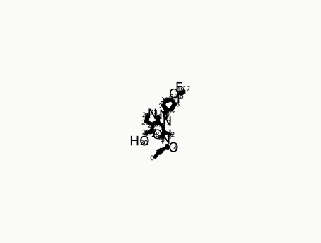 CC#CC(=O)N1CC(c2nn(-c3ccc(OC(C)(F)F)cc3)c3nccc([C@@H](O)CO)c23)C1